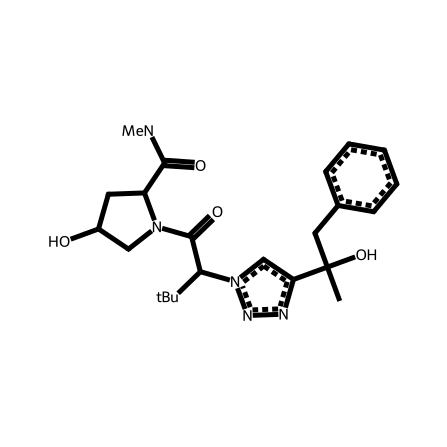 CNC(=O)C1CC(O)CN1C(=O)C(n1cc(C(C)(O)Cc2ccccc2)nn1)C(C)(C)C